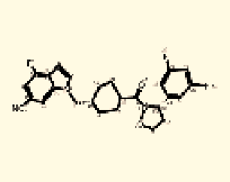 N#Cc1cc(F)c2ccn(C[C@H]3CC[C@H](C(=O)N4OCC[C@H]4c4cc(F)cc(F)c4)CC3)c2c1